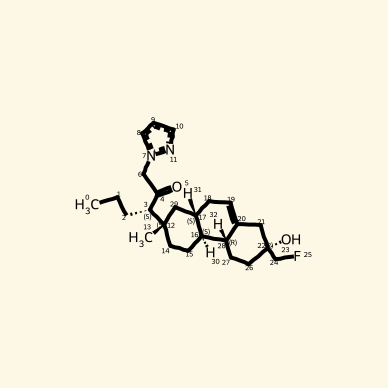 CCC[C@H](C(=O)Cn1cccn1)[C@@]1(C)CC[C@H]2[C@@H](CC=C3C[C@@](O)(CF)CC[C@@H]32)C1